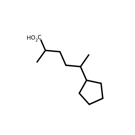 CC(CCC(C)C1CCCC1)C(=O)O